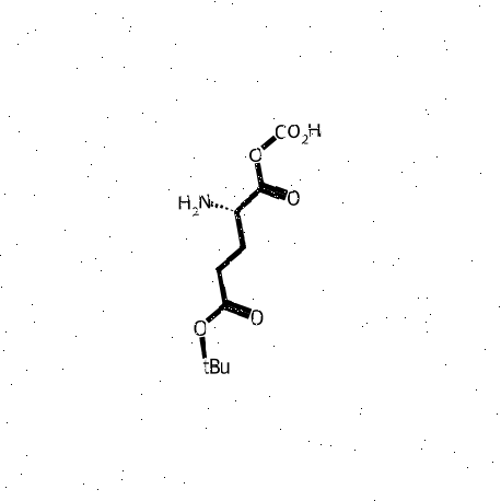 CC(C)(C)OC(=O)CC[C@H](N)C(=O)OC(=O)O